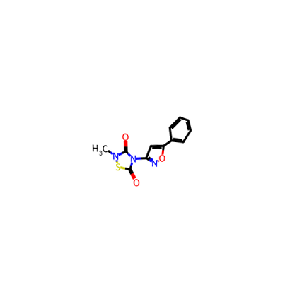 Cn1sc(=O)n(-c2cc(-c3ccccc3)on2)c1=O